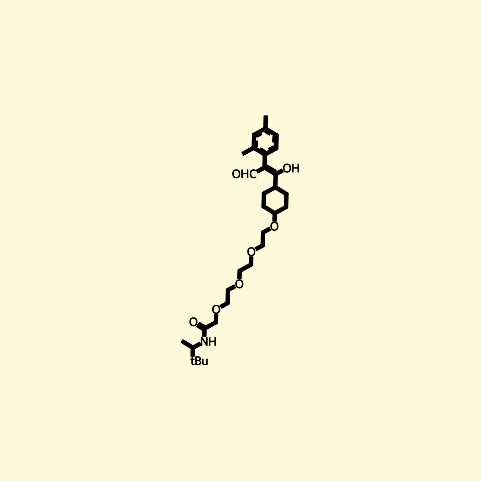 Cc1ccc(/C(C=O)=C(\O)C2CCC(OCCOCCOCCOCC(=O)NC(C)C(C)(C)C)CC2)c(C)c1